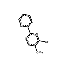 COc1cnc(-c2ncccn2)nc1O